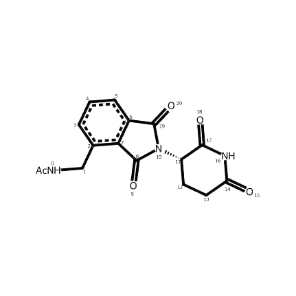 CC(=O)NCc1cccc2c1C(=O)N([C@H]1CCC(=O)NC1=O)C2=O